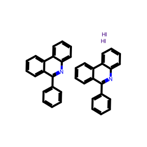 I.I.c1ccc(-c2nc3ccccc3c3ccccc23)cc1.c1ccc(-c2nc3ccccc3c3ccccc23)cc1